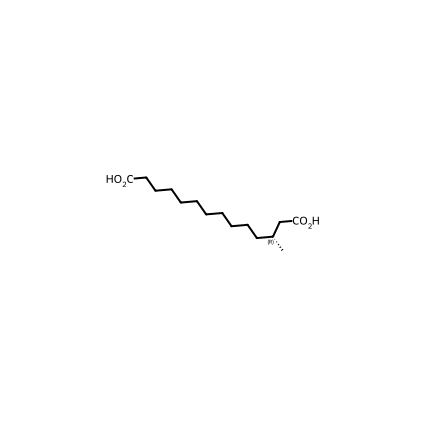 C[C@H](CCCCCCCCCCC(=O)O)CC(=O)O